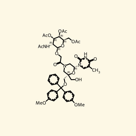 COc1ccc(C(OC[C@]2(CO)CN(C(=O)CO[C@@H]3O[C@H](COC(C)=O)[C@H](OC(C)=O)[C@H](OC(C)=O)[C@H]3NC(C)=O)C[C@H](n3cc(C)c(=O)[nH]c3=O)O2)(c2ccccc2)c2ccc(OC)cc2)cc1